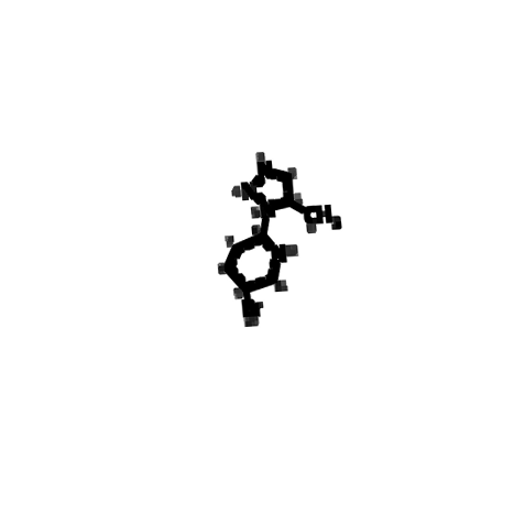 Cc1cnnn1-c1ccc(Br)cn1